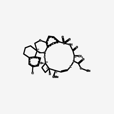 CO[C@@H]1C=CCN(C(=O)OC(C)(C)C)[C@H](C)C(=O)NS(=O)(=O)c2ccc3c(c2)N(C[C@@H]2CC[C@H]21)C[C@@]1(CCCc2cc(Cl)ccc21)CO3